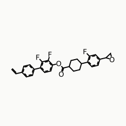 C=Cc1ccc(-c2ccc(OC(=O)C3CCC(c4ccc(C5CO5)cc4F)CC3)c(F)c2F)cc1